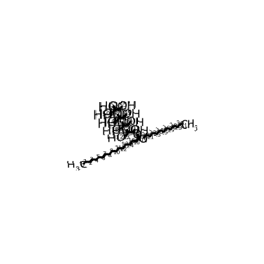 CCCCCCCCCCCCCCCCCC(=O)OCCCCCCCCCCCC.OCC(O)CO.OCC(O)CO.OCC(O)CO.OCC(O)CO